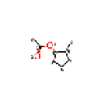 CC(=O)OC1CCCC1C